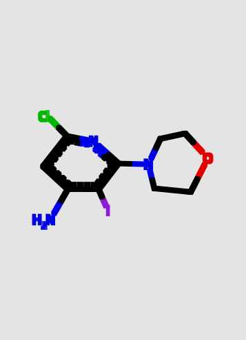 Nc1cc(Cl)nc(N2CCOCC2)c1I